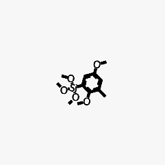 COc1cc(C)c(OC)c([Si](OC)(OC)OC)c1